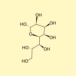 OC[C@H](O)[C@H](O)[C@H]1O[C@H](O)[C@@H](O)[C@@H](O)[C@H]1O